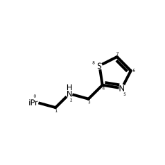 CC(C)CNCc1nccs1